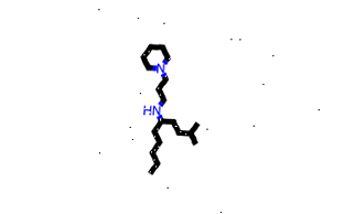 CCCCCC(CCC(C)C)NCCCN1CCCCC1